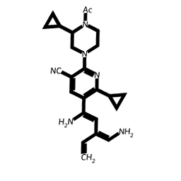 C=CC(=C/N)/C=C(\N)c1cc(C#N)c(N2CCN(C(C)=O)C(C3CC3)C2)nc1C1CC1